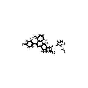 CN(C)CCn1c(=O)[nH]c2cc(/C=C3\c4ccccc4COc4cc(F)ccc43)ccc21